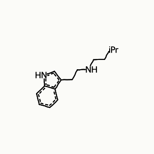 CC(C)CCNCCc1c[nH]c2ccccc12